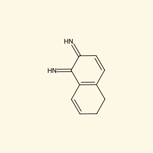 N=C1C=CC2=C(C=CCC2)C1=N